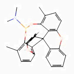 Cc1ccc2c3c1OP(N(C)C)Oc1c(C)ccc4c1C3(c1ccccc1O2)c1ccccc1O4